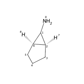 NC1[C@H]2CCC[C@@H]12